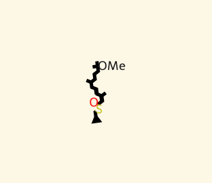 COC(C)(C)CCCC(C)CC=CC(C)=CC(=O)SCC1CC1